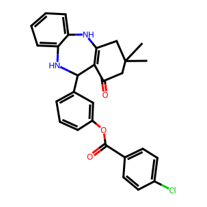 CC1(C)CC(=O)C2=C(C1)Nc1ccccc1NC2c1cccc(OC(=O)c2ccc(Cl)cc2)c1